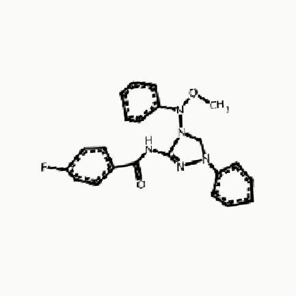 CON(c1ccccc1)N1CN(c2ccccc2)N=C1NC(=O)c1ccc(F)cc1